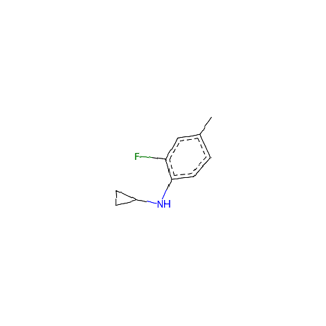 Cc1ccc(NC2CC2)c(F)c1